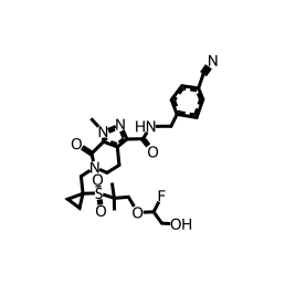 Cn1nc(C(=O)NCc2ccc(C#N)cc2)c2c1C(=O)N(CC1(S(=O)(=O)C(C)(C)COC(F)CO)CC1)CC2